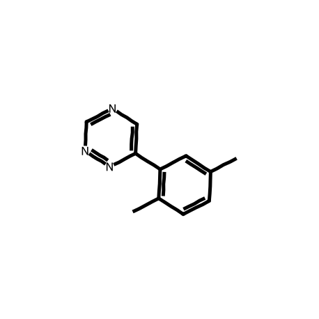 Cc1ccc(C)c(-c2cncnn2)c1